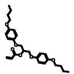 C=CC(=O)OC(COc1ccc(OCCCC)cc1)COc1ccc(OCCCC)cc1